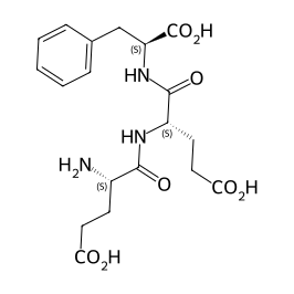 N[C@@H](CCC(=O)O)C(=O)N[C@@H](CCC(=O)O)C(=O)N[C@@H](Cc1ccccc1)C(=O)O